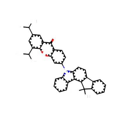 CC(C)c1cc(C(C)C)c2oc3cc(-n4c5ccccc5c5c6c(ccc54)-c4ccccc4C6(C)C)ccc3c(=O)c2c1